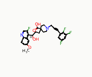 COc1ccc2ncc(F)c([C@H](O)CCC3(C(=O)O)CCN(CC#Cc4cc(F)cc(F)c4F)CC3)c2c1